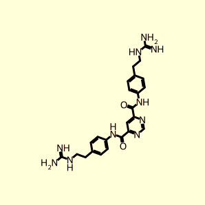 N=C(N)NCCc1ccc(NC(=O)c2cc(C(=O)Nc3ccc(CCNC(=N)N)cc3)ncn2)cc1